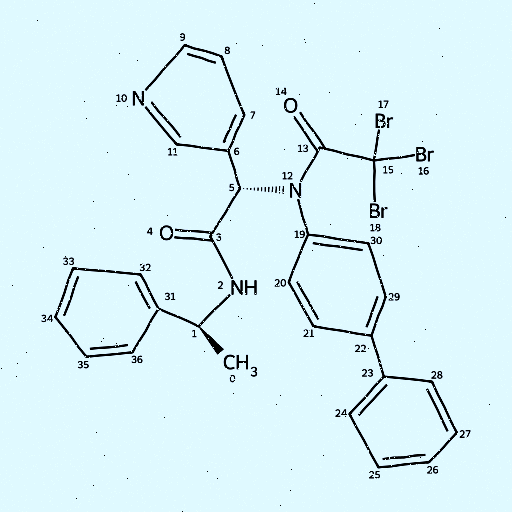 C[C@H](NC(=O)[C@H](c1cccnc1)N(C(=O)C(Br)(Br)Br)c1ccc(-c2ccccc2)cc1)c1ccccc1